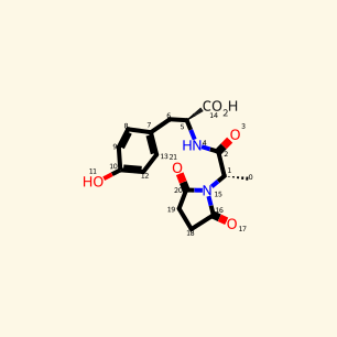 C[C@@H](C(=O)N[C@@H](Cc1ccc(O)cc1)C(=O)O)N1C(=O)CCC1=O